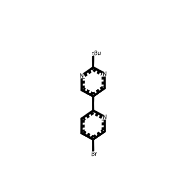 CC(C)(C)c1ncc(-c2ccc(Br)cn2)cn1